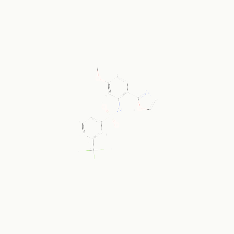 COc1ccc(-c2ncco2)c(NS(=O)(=O)c2cccc(C(F)(F)F)c2)c1